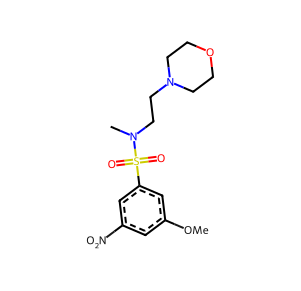 COc1cc([N+](=O)[O-])cc(S(=O)(=O)N(C)CCN2CCOCC2)c1